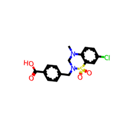 CN1CN(Cc2ccc(C(=O)O)cc2)S(=O)(=O)c2cc(Cl)ccc21